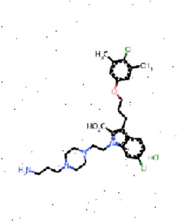 Cc1cc(OCCCc2c(C(=O)O)n(CCN3CCN(CCCN)CC3)c3cc(Cl)ccc23)cc(C)c1Cl.Cl